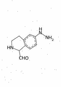 NNc1ccc2c(c1)CCNC2C=O